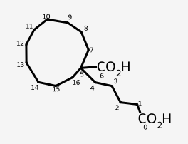 O=C(O)CCCCC1(C(=O)O)CCCCCCCCCC1